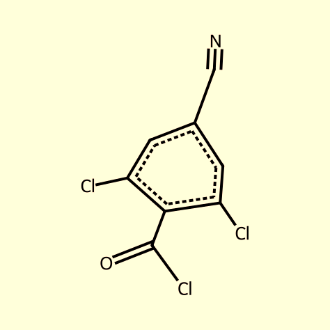 N#Cc1cc(Cl)c(C(=O)Cl)c(Cl)c1